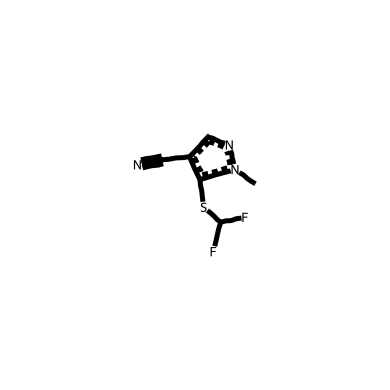 Cn1n[c]c(C#N)c1SC(F)F